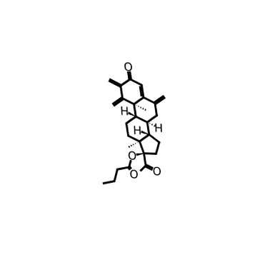 C=C1C[C@@H]2[C@H](CC[C@@]3(C)[C@H]2CC[C@]3(OC(=O)CCC)C(C)=O)[C@@]2(C)C(=C)C(=C)C(=O)C=C12